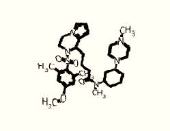 COc1cc(C)c(S(=O)(=O)N2CCn3cccc3C2CCCC(=O)N(C)[C@@H]2CCC[C@H](N3CCN(C)CC3)C2)c(C)c1